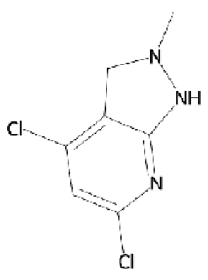 CN1Cc2c(Cl)cc(Cl)nc2N1